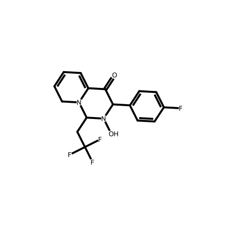 O=C1C2=CC=CCN2C(CC(F)(F)F)N(O)C1c1ccc(F)cc1